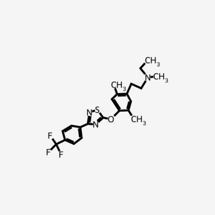 CCN(C)CCc1cc(C)c(Oc2nc(-c3ccc(C(F)(F)F)cc3)ns2)cc1C